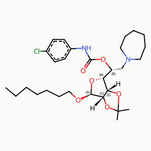 CCCCCCCO[C@H]1O[C@H]([C@@H](CN2CCCCCC2)OC(=O)Nc2ccc(Cl)cc2)[C@@H]2OC(C)(C)O[C@H]12